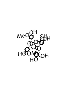 C=C1[C@@H](c2ccc(O)c(OC)c2)O[C@@H](c2ccc(O)c(OC)c2)[C@@]12CCC1=C(C2)[C@@H](c2ccc(O)c(CO)c2)O[C@H]1c1ccc(O)c(CO)c1